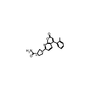 Cc1ccccc1-c1cc(=O)oc2nc(N3CC[C@@H](C(N)=O)C3)ccc12